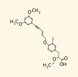 CCOC(Cc1ccc(OCC=CC#Cc2cc(OC)cc(OC)c2)c(I)c1)C(=O)O